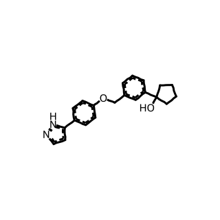 OC1(c2cccc(COc3ccc(-c4ccn[nH]4)cc3)c2)CCCC1